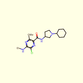 CCNc1nc(OC)c(C(=O)NC2CCN(C3CCCCC3)C2)nc1Cl